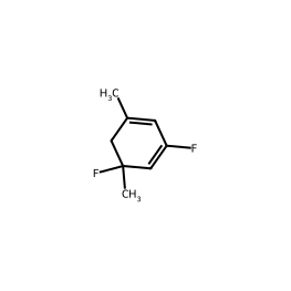 CC1=CC(F)=CC(C)(F)C1